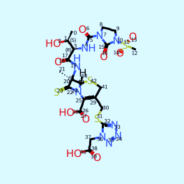 C[C@H](O)[C@@H](NC(=O)N1CCN(S(C)(=O)=O)C1=O)C(=O)N[C@]1(C)C(=S)N2C(C(=O)O)=C(CSc3nnnn3CC(=O)O)CS[C@H]21